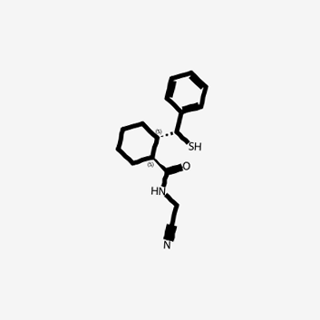 N#CCNC(=O)[C@H]1CCCC[C@@H]1C(S)c1ccccc1